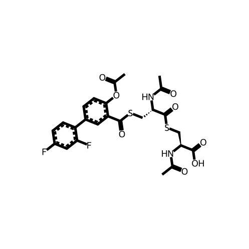 CC(=O)N[C@@H](CSC(=O)[C@H](CSC(=O)c1cc(-c2ccc(F)cc2F)ccc1OC(C)=O)NC(C)=O)C(=O)O